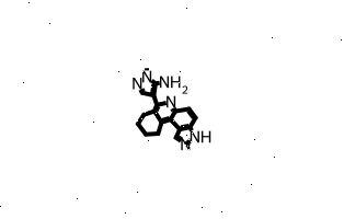 Cn1ncc(-c2nc3ccc4[nH]ncc4c3c3c2CCCC3)c1N